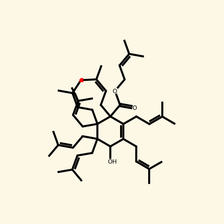 CC(C)=CCOC(=O)C1(CC=C(C)C)C(CC=C(C)C)=C(CC=C(C)C)C(O)C(CC=C(C)C)(CC=C(C)C)C1(CC=C(C)C)CC=C(C)C